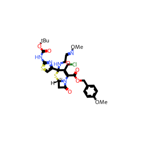 CON=CC(=O)NC1(c2csc(NC(=O)OC(C)(C)C)n2)S[C@H]2CC(=O)N2C(C(=O)OCc2ccc(OC)cc2)=C1CCl